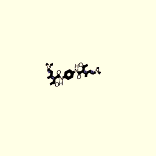 CC(=O)/C(C(=O)Nc1ccc(NC(=O)/C(C(C)=O)=C(C)/C=C/N(C)C)cc1)=C(C)/C=C/N(C)C